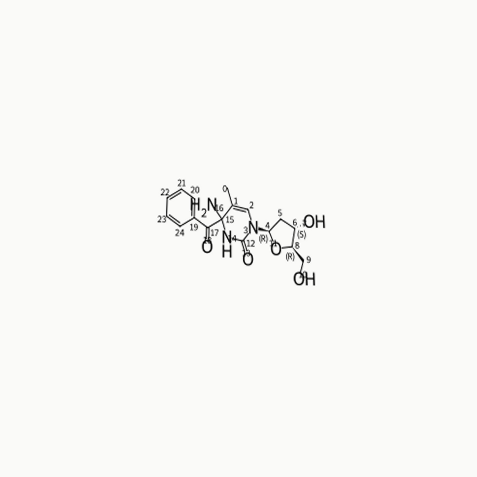 CC1=CN([C@H]2C[C@H](O)[C@@H](CO)O2)C(=O)NC1(N)C(=O)c1ccccc1